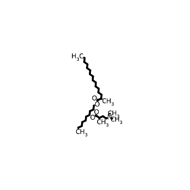 CCCCCCCCCCCCCCC(C)C(=O)OCC(CCCCCCCC)OC(=O)C(C)CCN(C)C